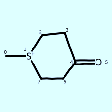 C[S+]1CCC(=O)CC1